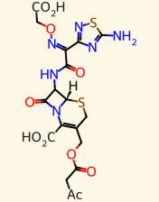 CC(=O)CC(=O)OCC1=C(C(=O)O)N2C(=O)C(NC(=O)C(=NOCC(=O)O)c3nsc(N)n3)[C@@H]2SC1